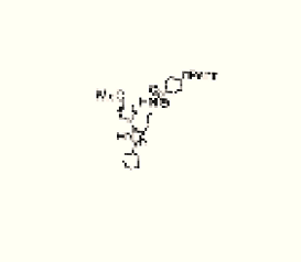 CCCCCc1ccc(S(=O)(=O)NCCCc2nc(-c3ccccc3)[nH]c2-c2ccc(OC)cc2)cc1